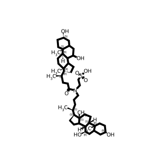 C[C@H](CCC(=O)N(CCC[C@H](C)[C@@H]1CCC2[C@H]3[C@H](O)CC4C[C@H](O)CC[C@@]4(C)[C@H]3CC[C@]21C)CCS(=O)(=O)O)[C@H]1CCC2C3C(O)CC4C[C@@H](O)CC[C@]4(C)[C@@H]3CC[C@@]21C